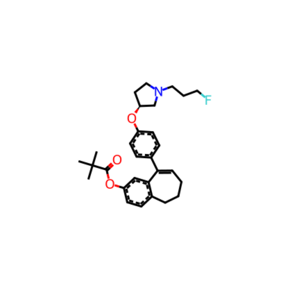 CC(C)(C)C(=O)Oc1ccc2c(c1)C(c1ccc(O[C@H]3CCN(CCCF)C3)cc1)=CCCC2